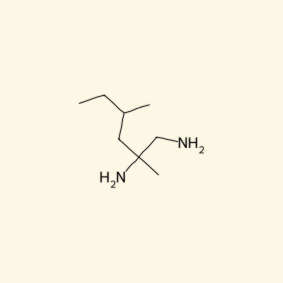 CCC(C)CC(C)(N)CN